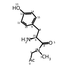 CC(=O)CN(C)C(=O)[C@@H](N)Cc1ccc(O)cc1